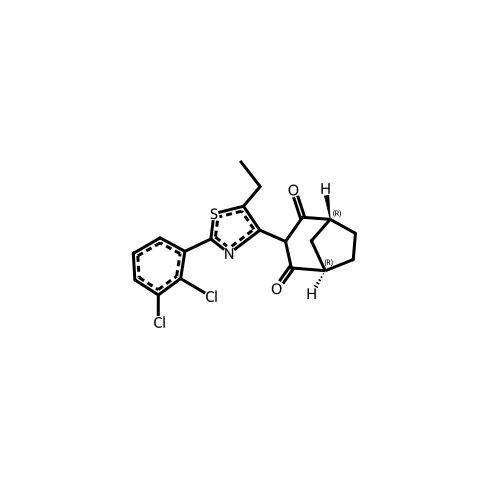 CCc1sc(-c2cccc(Cl)c2Cl)nc1C1C(=O)[C@@H]2CC[C@H](C2)C1=O